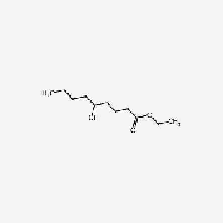 CCCCC(O)CCCC(=O)OCC